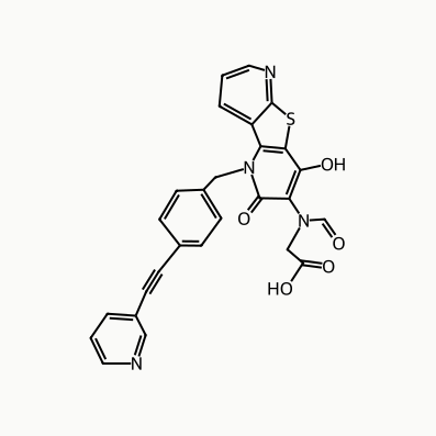 O=CN(CC(=O)O)c1c(O)c2sc3ncccc3c2n(Cc2ccc(C#Cc3cccnc3)cc2)c1=O